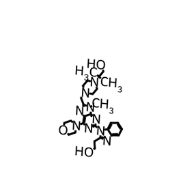 Cn1c(CN2CCN(C(C)(C)CO)CC2)nc2c(N3CCOCC3)nc(-n3c(CCO)nc4ccccc43)nc21